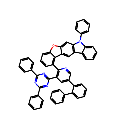 c1ccc(-c2nc(-c3ccccc3)nc(-c3cc(-c4ccccc4-c4ccccc4)cnc3-c3cccc4oc5cc6c(cc5c34)c3ccccc3n6-c3ccccc3)n2)cc1